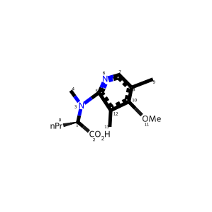 CCC[C@H](C(=O)O)N(C)c1ncc(C)c(OC)c1C